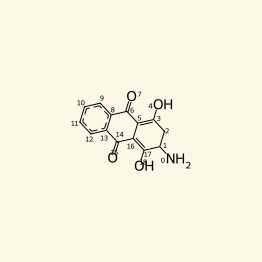 NC1CC(O)=C2C(=O)c3ccccc3C(=O)C2=C1O